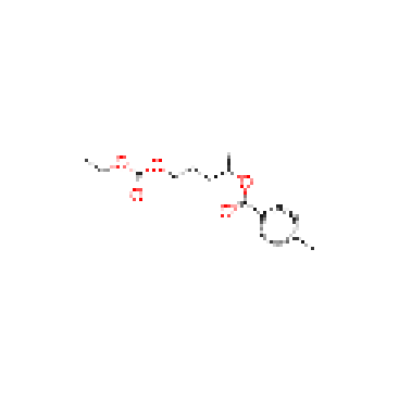 CCOC(=O)OCCCC(C)OC(=O)c1ccc(C)cc1